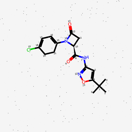 CC(C)(C)c1cc(NC(=O)[C@@H]2CC(=O)N2C2=CC=C(Cl)CC2)no1